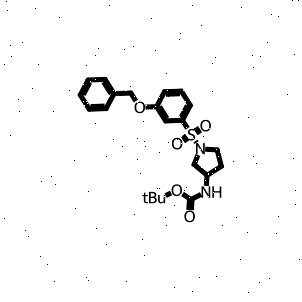 CC(C)(C)OC(=O)NC1CCN(S(=O)(=O)c2cccc(OCc3ccccc3)c2)C1